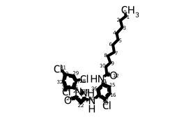 CCCCCCCCCCCC(=O)Nc1ccc(Cl)c(Nc2cc(=O)n(-c3c(Cl)cc(Cl)cc3Cl)[nH]2)c1